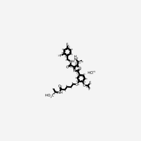 C[C@H](NC(=O)CCCCOc1cc(-c2nc(C(=O)NCc3ccc(F)cc3F)c([C@H](C)N)o2)ccc1OC(F)F)C(=O)O.Cl